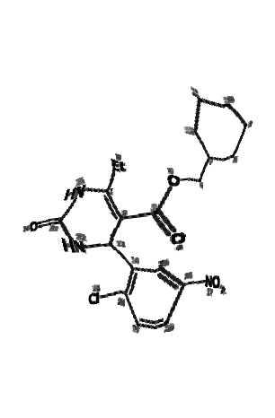 CCC1=C(C(=O)OCC2CCCCC2)C(c2cc([N+](=O)[O-])ccc2Cl)NC(=O)N1